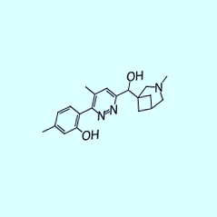 Cc1ccc(-c2nnc(C(O)C34CC(CN(C)C3)C4)cc2C)c(O)c1